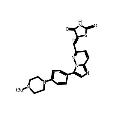 CC(C)(C)N1CCN(c2ccc(-c3cnc4ccc(/C=C5\SC(=O)NC5=O)nn34)cc2)CC1